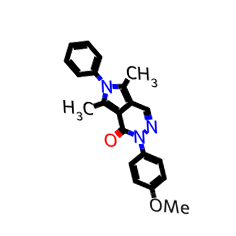 COc1ccc(-n2ncc3c(C)n(-c4ccccc4)c(C)c3c2=O)cc1